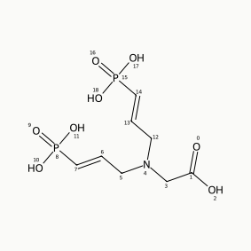 O=C(O)CN(CC=CP(=O)(O)O)CC=CP(=O)(O)O